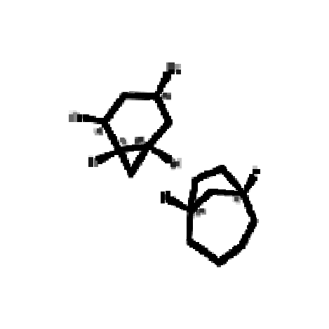 C1CC[C@H]2CC[C@@H](C1)C2.CC[C@H]1C[C@@H]2C[C@@H]2[C@@H](C(C)C)C1